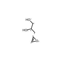 C1=CO1.CC(O)CO